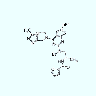 CCCc1cc2c(N3CCn4c(nnc4C(F)(F)F)C3)nc(N(CC)C[C@H](C)NC(=O)c3ccco3)nc2s1